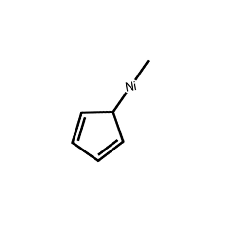 [CH3][Ni][CH]1C=CC=C1